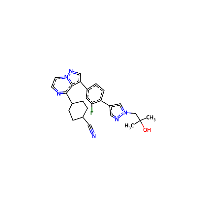 CC(C)(O)Cn1cc(-c2ccc(-c3cnn4ccnc(C5CCC(C#N)CC5)c34)cc2F)cn1